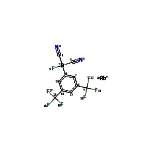 N#C[B-](F)(C#N)c1cc(C(F)(F)F)cc(C(F)(F)F)c1.[Rb+]